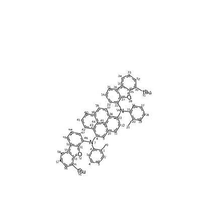 Cc1ccccc1N(c1cc2ccc(N(c3ccccc3C)c3cccc4c3oc3c(C(C)(C)C)cccc34)c3ccc4cccc1c4c23)c1cccc2c1oc1c(C(C)(C)C)cccc12